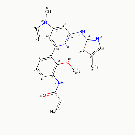 C=CC(=O)Nc1cccc(-c2nc(Nc3ncc(C)s3)cc3c2ccn3C)c1OC